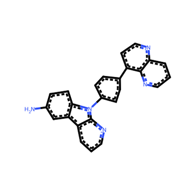 Nc1ccc2c(c1)c1cccnc1n2-c1ccc(-c2ccnc3cccnc23)cc1